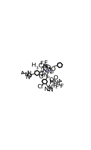 CC(C)(C[C@]1(c2ccc(-c3cnn(C4CC4)n3)cc2)N/C(=N\C(=O)OCc2ccccc2)N([C@H](COC(=O)NC2(C(F)F)CC2)c2ccc(Cl)c(-c3ncnn3C(F)F)c2)C1=O)C(F)(F)F